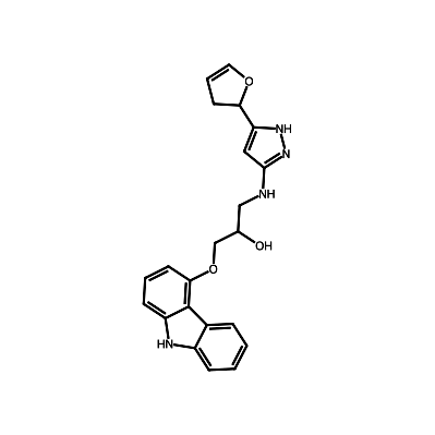 OC(CNc1cc(C2CC=CO2)[nH]n1)COc1cccc2[nH]c3ccccc3c12